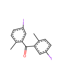 Cc1ccc(I)cc1C(=O)c1cc(I)ccc1C